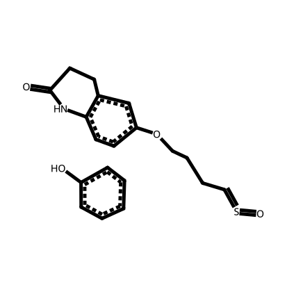 O=S=CCCCOc1ccc2c(c1)CCC(=O)N2.Oc1ccccc1